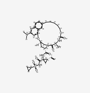 C=C[C@@H]1C[C@]1(NC(=O)[C@@H]1C[C@@H]2CN1C(=O)[C@H](C(C)C)NC(=O)OCCCCCc1ccc3nc(N(C)C)nc(c3c1)O2)C(=O)NS(=O)(=O)C1CC1